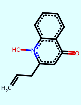 C=CCc1cc(=O)c2ccccc2n1O